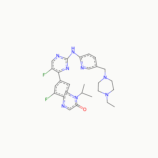 CCN1CCN(Cc2ccc(Nc3ncc(F)c(-c4cc(F)c5ncc(=O)n(C(C)C)c5c4)n3)nc2)CC1